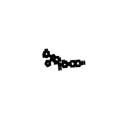 C1=C(c2c(-c3cncnc3)cc3cnc(Nc4ccc(N5CCC6(CCNCC6)CC5)cn4)nn23)CCC1